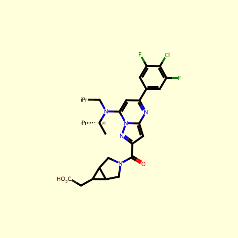 CC(C)CN(c1cc(-c2cc(F)c(Cl)c(F)c2)nc2cc(C(=O)N3CC4C(CC(=O)O)C4C3)nn12)[C@H](C)C(C)C